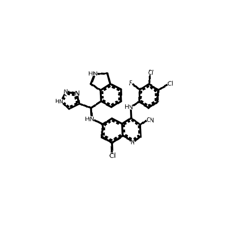 N#Cc1cnc2c(Cl)cc(NC(c3c[nH]nn3)c3cccc4c3CNC4)cc2c1Nc1ccc(Cl)c(Cl)c1F